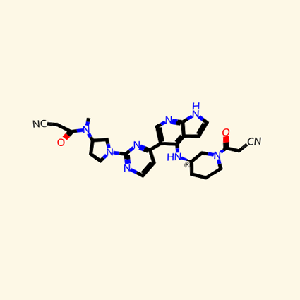 CN(C(=O)CC#N)C1CCN(c2nccc(-c3cnc4[nH]ccc4c3N[C@@H]3CCCN(C(=O)CC#N)C3)n2)C1